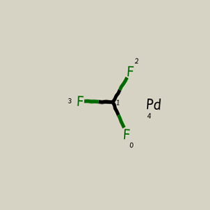 FC(F)F.[Pd]